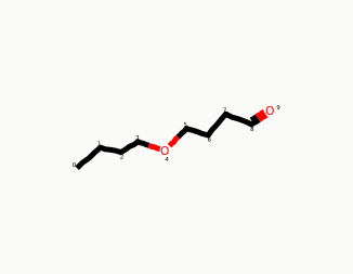 CCCCOCCC[C]=O